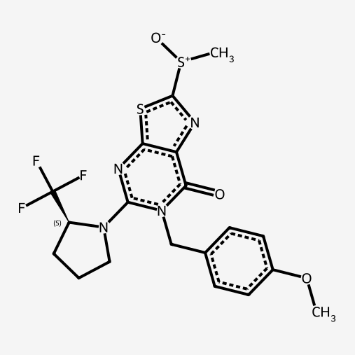 COc1ccc(Cn2c(N3CCC[C@H]3C(F)(F)F)nc3sc([S+](C)[O-])nc3c2=O)cc1